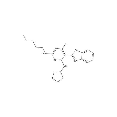 CCCCCNc1nc(C)c(-c2nc3ccccc3s2)c(NC2CCCC2)n1